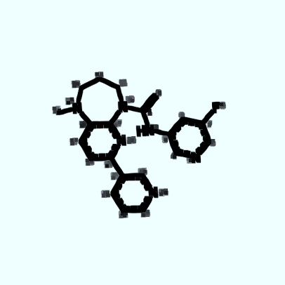 C=C(Nc1cncc(F)c1)N1CCCN(C)c2ccc(-c3cccnc3)nc21